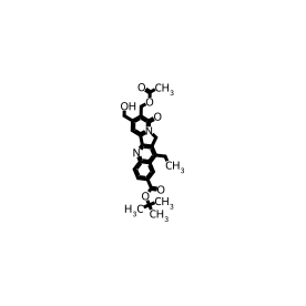 CCc1c2c(nc3ccc(C(=O)OC(C)(C)C)cc13)-c1cc(CO)c(COC(C)=O)c(=O)n1C2